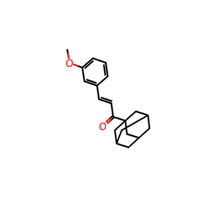 COc1cccc(C=CC(=O)C23CC4CC(CC(C4)C2)C3)c1